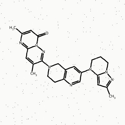 Cc1cc(=O)n2nc(N3CCc4ncc(N5CCCn6nc(C)cc65)cc4C3)c(C)cc2n1